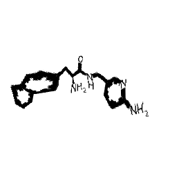 Nc1ccc(CNC(=O)[C@@H](N)Cc2ccc3ccccc3c2)cn1